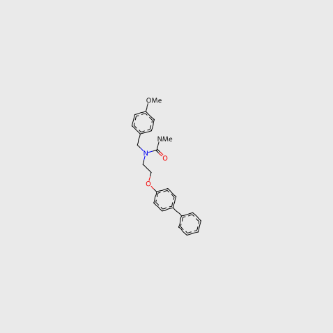 CNC(=O)N(CCOc1ccc(-c2ccccc2)cc1)Cc1ccc(OC)cc1